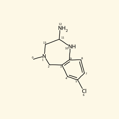 CN1Cc2cc(Cl)ccc2NC(N)C1